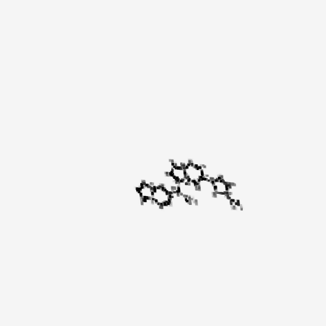 C[C@H](c1ccc2nccn2c1)c1cnc2ccc(-c3cnn(C)c3)nn12